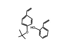 C=Cc1ccc(OC(C)(C)C)cc1.C=Cc1ccccc1O